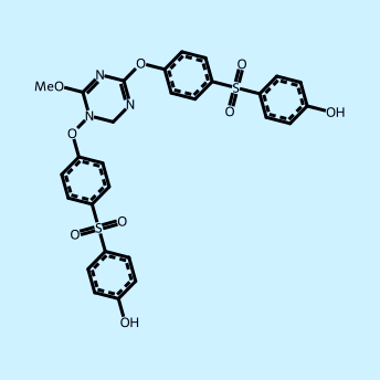 COC1=NC(Oc2ccc(S(=O)(=O)c3ccc(O)cc3)cc2)=NCN1Oc1ccc(S(=O)(=O)c2ccc(O)cc2)cc1